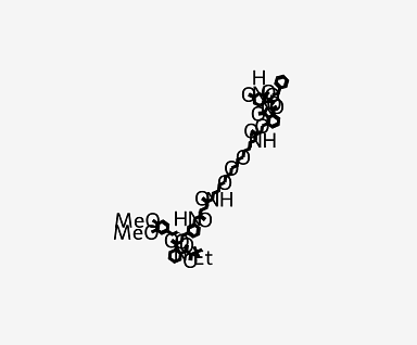 CCC(C)(C)C(=O)C(=O)N1CCCCC1C(=O)O[C@H](CCc1ccc(OC)c(OC)c1)c1cccc(NC(=O)CCC(=O)NCCCOCCOCCOCCCNC(=O)COc2cccc3c2C(=O)N([C@]2(C(=O)OCc4ccccc4)CCC(=O)NC2=O)C3=O)c1